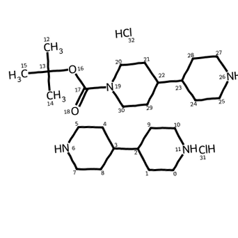 C1CC(C2CCNCC2)CCN1.CC(C)(C)OC(=O)N1CCC(C2CCNCC2)CC1.Cl.Cl